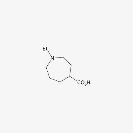 CCN1CCCC(C(=O)O)CC1